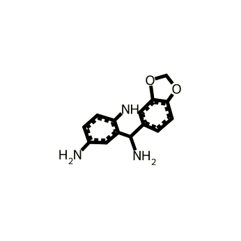 Nc1ccc(N)c(C(N)c2ccc3c(c2)OCO3)c1